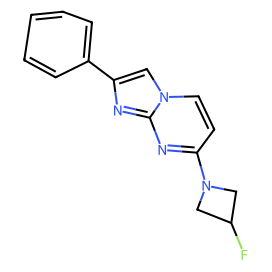 FC1CN(c2ccn3cc(-c4ccccc4)nc3n2)C1